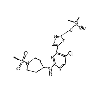 CC(C)(C)[Si](C)(C)OCc1ncc(-c2nc(NC3CCN(S(C)(=O)=O)CC3)ncc2Cl)s1